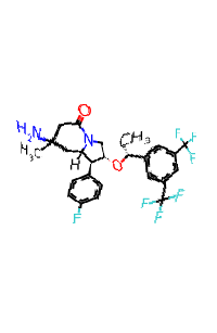 C[C@@H](O[C@H]1CN2C(=O)CC(C)(N)C[C@H]2[C@@H]1c1ccc(F)cc1)c1cc(C(F)(F)F)cc(C(F)(F)F)c1